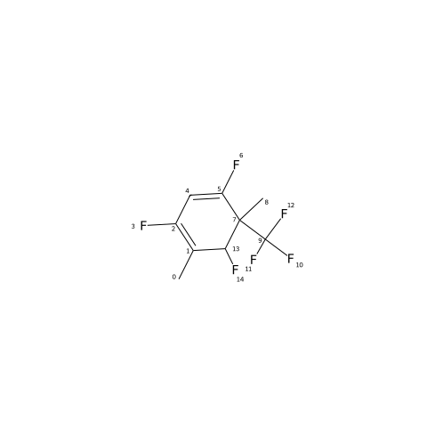 CC1=C(F)C=C(F)C(C)(C(F)(F)F)C1F